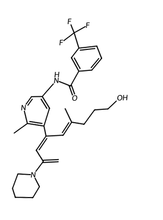 C=C(/C=C(\C=C(/C)CCCO)c1cc(NC(=O)c2cccc(C(F)(F)F)c2)cnc1C)N1CCCCC1